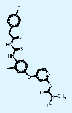 CN(C)C(=O)Nc1cc(Oc2ccc(NC(=S)NC(=O)Cc3ccc(F)cc3)c(F)c2)ccn1